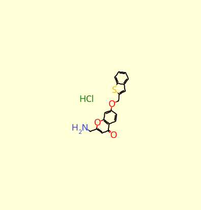 Cl.NCc1cc(=O)c2ccc(OCc3cc4ccccc4s3)cc2o1